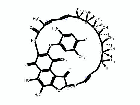 C=C1C(Oc2cc(C)c(F)cc2N)=C2NC(=O)/C(C)=C\C=C\[C@H](C)[C@H](O)[C@@H](C)[C@@H](O)[C@@H](C)[C@H](O)[C@H](C)C/C=C/O[C@@]3(C)Oc4c(C)c(O)c(c1c4C3=O)C2=O